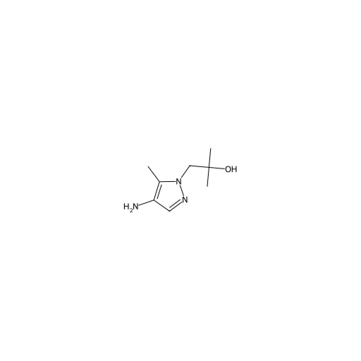 Cc1c(N)cnn1CC(C)(C)O